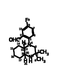 CC1(C)CN(c2ccc(F)cc2C=O)[C@H]2CCCC[C@H]2N1